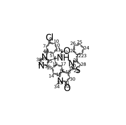 CC(=O)NC(c1ccc(Cl)cc1)(c1ccc2c(c1)c(-c1nc(-c3ccccc3)cs1)cc(=O)n2C)c1cncn1C